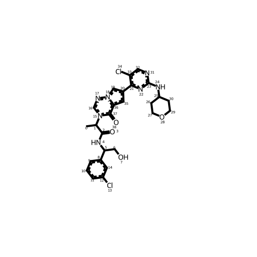 CC(C(=O)NC(CO)c1cccc(Cl)c1)n1cnn2cc(-c3nc(NC4CCOCC4)ncc3Cl)cc2c1=O